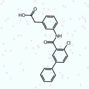 O=C(O)Cc1cccc(NC(=O)c2cc(-c3ccccc3)ccc2Cl)c1